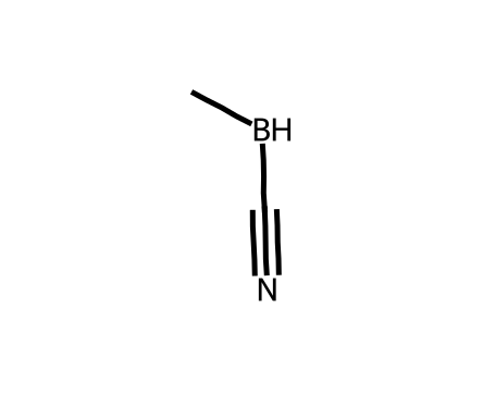 CBC#N